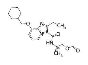 CCc1nc2c(OCC3CCCCC3)cccn2c1C(=O)N[C@H](C)COC=O